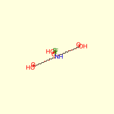 O=C(O)C(F)(F)F.O=C(O)CCCCCCCCCCCCCCCCNCCCCCCCCCCCCCCCCC(=O)O